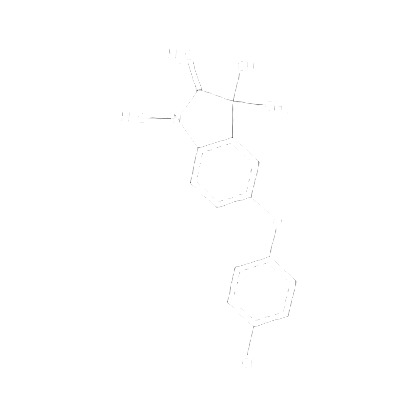 C=C1N(C)c2ccc(Oc3ccc(Cl)cc3)cc2C1(C)C